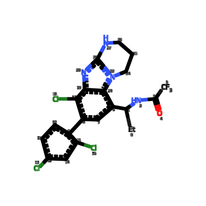 CCC(NC(=O)C(F)(F)F)c1cc(-c2ccc(Cl)cc2Cl)c(Cl)c2nc3n(c12)CCCN3